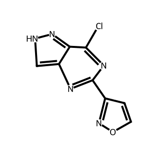 Clc1nc(-c2ccon2)nc2c[nH]nc12